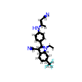 CCn1c(-c2ccc(N/C(C)=C/C#N)cc2)c(C#N)c2ccc(C(F)(F)F)cc21